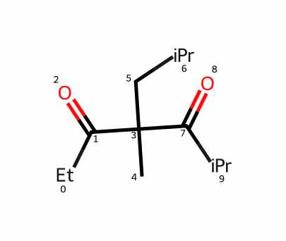 CCC(=O)C(C)(CC(C)C)C(=O)C(C)C